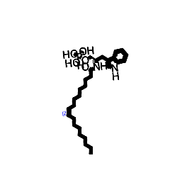 CCCCCCCC/C=C\CCCCCCCC(=O)N[C@@H](CO[PH](O)(O)O)Cc1c[nH]c2ccccc12